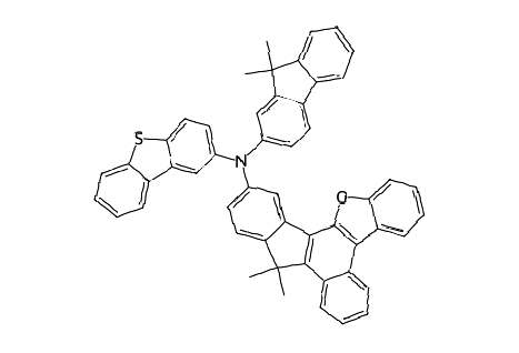 CC1(C)c2ccccc2-c2ccc(N(c3ccc4c(c3)-c3c(c5ccccc5c5c3oc3ccccc35)C4(C)C)c3ccc4sc5ccccc5c4c3)cc21